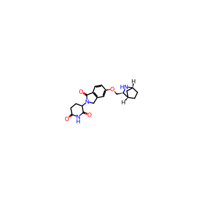 O=C1CCC(N2Cc3cc(OC[C@H]4N[C@@H]5CC[C@H]4C5)ccc3C2=O)C(=O)N1